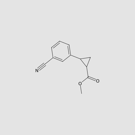 COC(=O)C1CC1c1cccc(C#N)c1